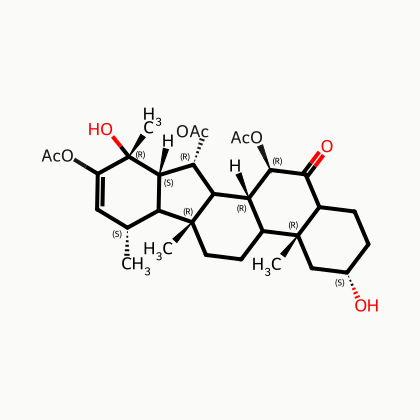 CC(=O)OC1=C[C@@H](C)C2[C@@H]([C@H](OC(C)=O)C3[C@H]4C(CC[C@@]32C)[C@@]2(C)C[C@@H](O)CCC2C(=O)[C@@H]4OC(C)=O)[C@@]1(C)O